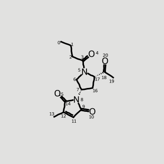 CCCC(=O)N1C[C@@H](N2C(=O)C=C(C)C2=O)C[C@H]1C(C)=O